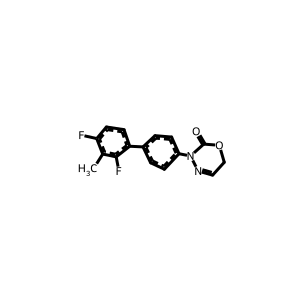 Cc1c(F)ccc(-c2ccc(N3N=CCOC3=O)cc2)c1F